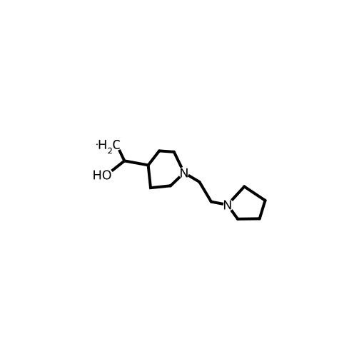 [CH2]C(O)C1CCN(CCN2CCCC2)CC1